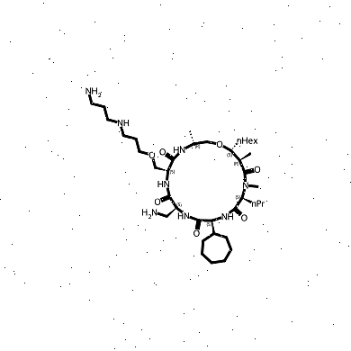 CCCCCC[C@H]1OC[C@@H](C)NC(=O)[C@H](COCCCNCCCN)NC(=O)[C@H](CN)NC(=O)[C@H](C2CCCCCC2)NC(=O)[C@H](CCC)N(C)C(=O)[C@@H]1C